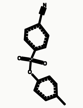 Cc1ccc(OS(=O)(=O)c2ccc(C#N)cc2)cc1